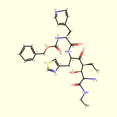 CCC(C)CNC(=O)C(N)[C@@H](O)[C@H](CC(C)C)C(=O)C(Cc1cscn1)NC(=O)[C@H](Cc1ccncc1)NC(=O)OCc1ccccc1